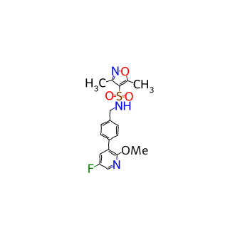 COc1ncc(F)cc1-c1ccc(CNS(=O)(=O)c2c(C)noc2C)cc1